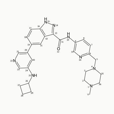 CN1CCN(Cc2ccc(NC(=O)c3n[nH]c4ccc(-c5cncc(NC6CCC6)c5)cc34)cn2)CC1